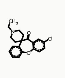 CCN1CCC2(CC1)C(=O)c1cc(Cl)ccc1Oc1ccccc12